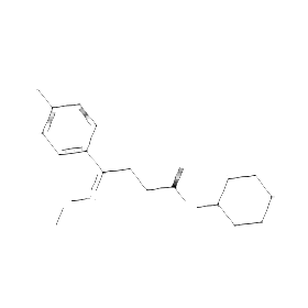 CON=C(CCC(=O)OC1CCCCC1)c1ccc(Cl)cc1